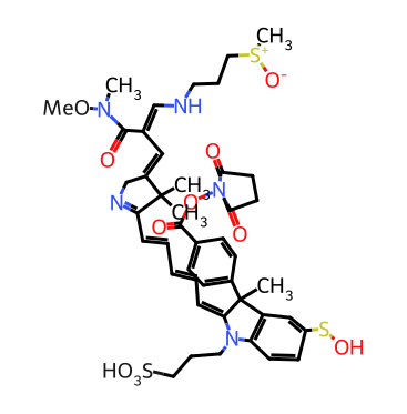 CON(C)C(=O)C(/C=C1\CN=C(/C=C/C=C/C=C2/N(CCCS(=O)(=O)O)c3ccc(SO)cc3C2(C)c2ccc(C(=O)ON3C(=O)CCC3=O)cc2)C1(C)C)=C/NCCC[S+](C)[O-]